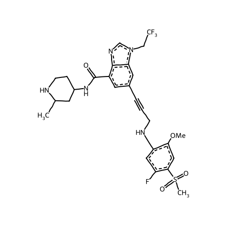 COc1cc(S(C)(=O)=O)c(F)cc1NCC#Cc1cc(C(=O)NC2CCNC(C)C2)c2ncn(CC(F)(F)F)c2c1